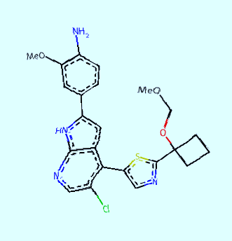 COCOC1(c2ncc(-c3c(Cl)cnc4[nH]c(-c5ccc(N)c(OC)c5)cc34)s2)CCC1